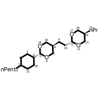 CCCCCC1CCC([C@H]2OC[C@H](CC[C@H]3OC[C@H](CCC)CO3)CO2)CC1